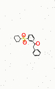 O=C(Cc1ccccc1)c1cccc(S(=O)(=O)C2CCCCC2)c1